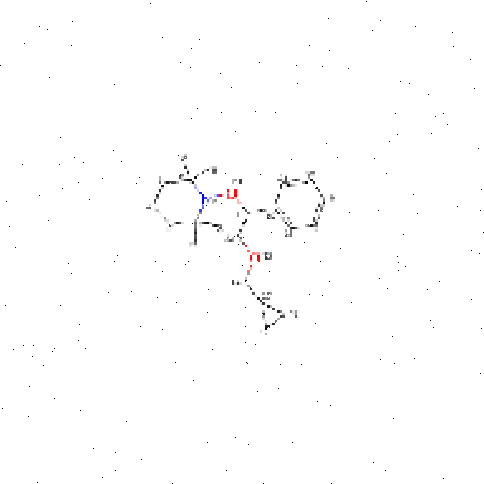 CC1(C)CCCC(C)(C)N1OC(COCC1CC1)c1ccccc1